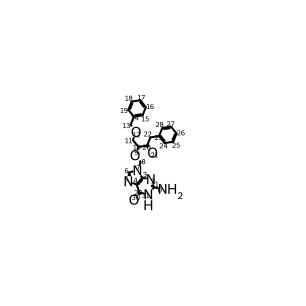 Nc1nc2c(ncn2COC(COCc2ccccc2)C(=O)Cc2ccccc2)c(=O)[nH]1